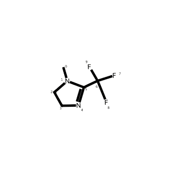 CN1[C]CN=C1C(F)(F)F